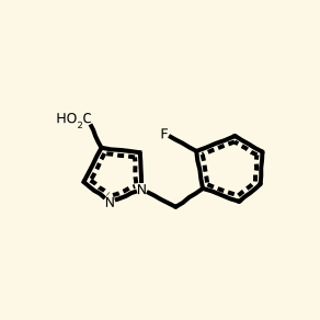 O=C(O)c1cnn(Cc2ccccc2F)c1